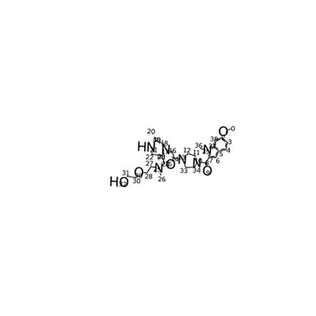 COc1ccc2cc(C(=O)N3CCN(C(=O)CN4C[C@@H](C)NC[C@@H]4CN(C)CCOCCO)CC3)n(C)c2c1